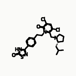 CC(C)C[C@H]1CCCN1Cc1c(Cl)cc(Cl)c(=O)n1CCc1ccc(-c2nsc(=O)[nH]2)cc1